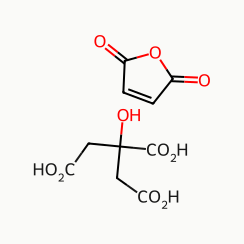 O=C(O)CC(O)(CC(=O)O)C(=O)O.O=C1C=CC(=O)O1